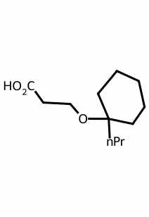 CCCC1(OCCC(=O)O)CCCCC1